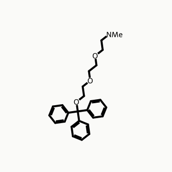 CNCCOCCOCCOC(c1ccccc1)(c1ccccc1)c1ccccc1